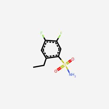 CCc1cc(F)c(F)cc1S(N)(=O)=O